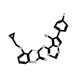 COC(=O)[C@H](Cc1ccccc1OCC1CC1)Oc1ncnn2cc(-c3ccc(F)cc3)c(Br)c12